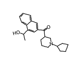 CC(O)c1cc(C(=O)C2CCCN(C3CCCC3)C2)cc2ccccc12